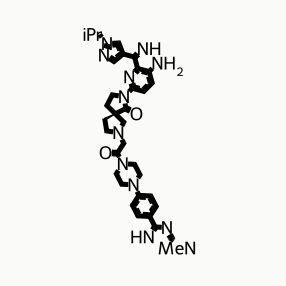 CN/C=N\C(=N)c1ccc(N2CCN(C(=O)CN3CC[C@]4(CCN(c5ccc(N)c(C(=N)c6cnn(C(C)C)c6)n5)C4=O)C3)CC2)cc1